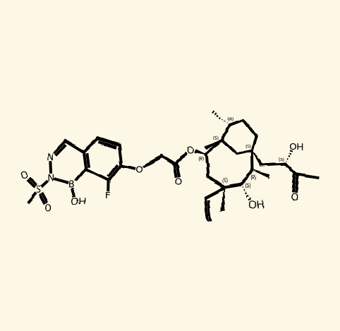 C=C[C@]1(C)C[C@@H](OC(=O)COc2ccc3c(c2F)B(O)N(S(C)(=O)=O)N=C3)[C@@]2(C)C[C@](C[C@H](O)C(C)=O)(CC[C@H]2C)[C@@H](C)[C@@H]1O